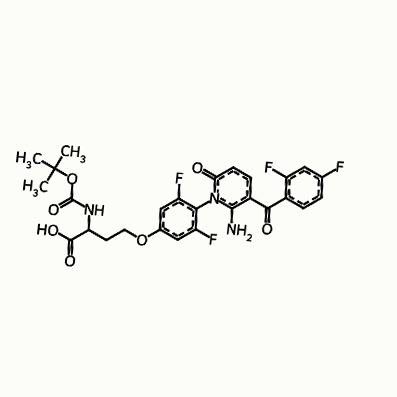 CC(C)(C)OC(=O)NC(CCOc1cc(F)c(-n2c(N)c(C(=O)c3ccc(F)cc3F)ccc2=O)c(F)c1)C(=O)O